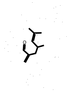 C=C(C=O)CC(C)C=C(C)C